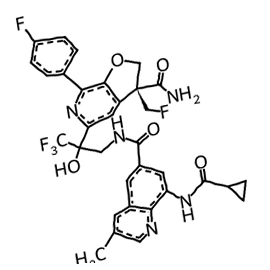 Cc1cnc2c(NC(=O)C3CC3)cc(C(=O)NCC(O)(c3cc4c(c(-c5ccc(F)cc5)n3)OC[C@]4(CF)C(N)=O)C(F)(F)F)cc2c1